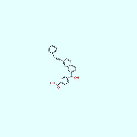 O=C(O)c1ccc(C(O)c2ccc3ccc(C#CCc4ccccc4)cc3c2)cc1